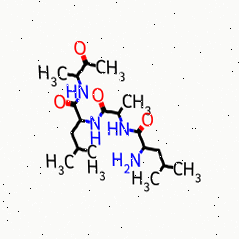 CC(=O)C(C)NC(=O)C(CC(C)C)NC(=O)C(C)NC(=O)C(N)CC(C)C